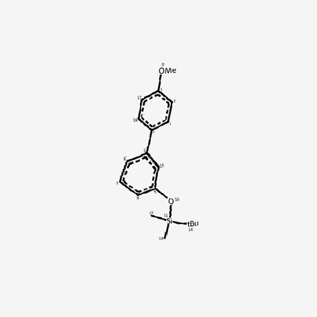 COc1ccc(-c2cccc(O[Si](C)(C)C(C)(C)C)c2)cc1